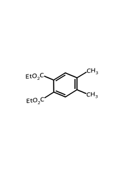 CCOC(=O)c1cc(C)c(C)cc1C(=O)OCC